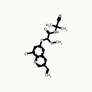 C=Cc1cnc2c(Cl)cc(OC(SC)C(=O)NC(C)(C)C#N)cc2c1